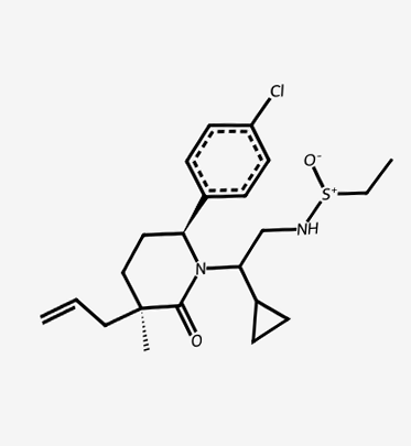 C=CC[C@@]1(C)CC[C@@H](c2ccc(Cl)cc2)N(C(CN[S+]([O-])CC)C2CC2)C1=O